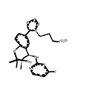 CCOC(=O)CCCn1nnnc1-c1ccc2c(c1)[C@@H](Nc1nccc(Cl)n1)[C@](C)(O)C(C)(C)O2